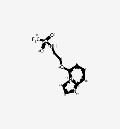 O=S(=O)(NCCOc1cccc2nccn12)C(F)(F)F